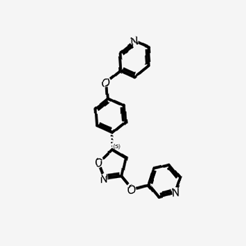 c1cncc(OC2=NO[C@H](c3ccc(Oc4cccnc4)cc3)C2)c1